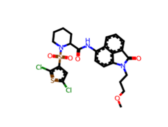 COCCCN1C(=O)c2cccc3c(NC(=O)C4CCCCN4S(=O)(=O)c4cc(Cl)sc4Cl)ccc1c23